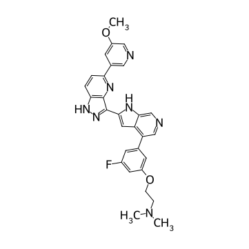 COc1cncc(-c2ccc3[nH]nc(-c4cc5c(-c6cc(F)cc(OCCN(C)C)c6)cncc5[nH]4)c3n2)c1